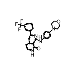 O=c1[nH]ccc2cc(-c3cccc(C(F)(F)F)c3)nc(Nc3ccc(N4CCOCC4)cc3)c12